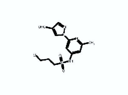 Cc1cc(NS(=O)(=O)CCCCl)cc(-n2cc(C=O)cn2)n1